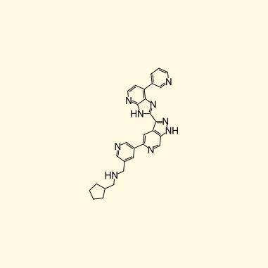 c1cncc(-c2ccnc3[nH]c(-c4n[nH]c5cnc(-c6cncc(CNCC7CCCC7)c6)cc45)nc23)c1